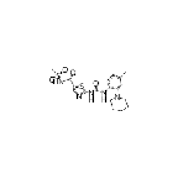 Cc1ccc(NC(=O)Nc2ncc(C(=O)NS(C)(=O)=O)s2)c(N2CCCCC2)c1